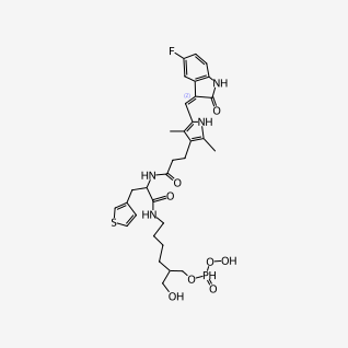 Cc1[nH]c(/C=C2\C(=O)Nc3ccc(F)cc32)c(C)c1CCC(=O)NC(Cc1ccsc1)C(=O)NCCCCC(CO)CO[PH](=O)OO